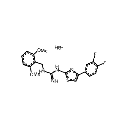 Br.COc1cccc(OC)c1CNC(=N)Nc1nc(-c2ccc(F)c(F)c2)cs1